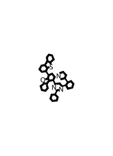 c1ccc(-c2nc(-c3ccccc3-c3cccnc3)cc(-c3ccc(-c4cccc5c4sc4ccccc45)c4oc5ccccc5c34)n2)cc1